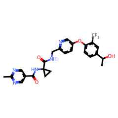 Cc1ncc(C(=O)NC2(C(=O)NCc3ccc(Oc4ccc(C(C)O)cc4C(F)(F)F)cn3)CC2)cn1